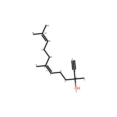 C#CC(C)(O)CC/C=C(/C)CCC=C(C)C